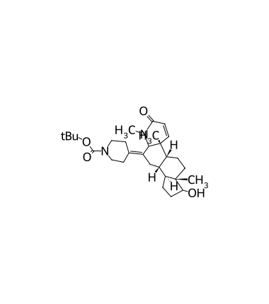 CN1C(=O)C=C[C@@]2(C)C1C(=C1CCN(C(=O)OC(C)(C)C)CC1)C[C@@H]1[C@H]2CC[C@]2(C)C(O)CC[C@@H]12